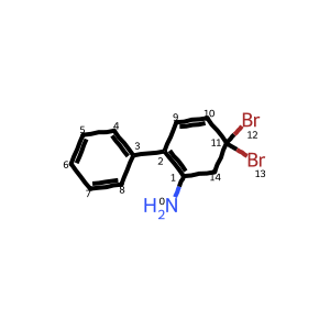 NC1=C(c2ccccc2)C=CC(Br)(Br)C1